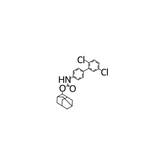 O=C(Nc1ccc(-c2cc(Cl)ccc2Cl)cc1)OC1C2CC3CC(C2)CC1C3